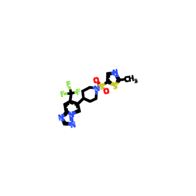 Cc1ncc(S(=O)(=O)N2CCC(c3cn4ncnc4cc3C(F)(F)F)CC2)s1